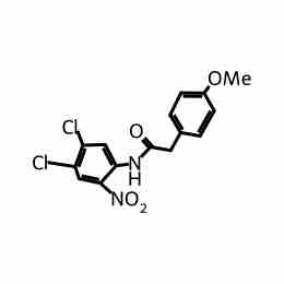 COc1ccc(CC(=O)Nc2cc(Cl)c(Cl)cc2[N+](=O)[O-])cc1